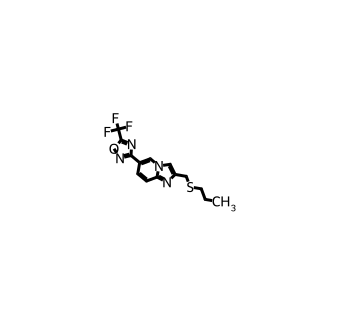 CCCSCc1cn2cc(-c3noc(C(F)(F)F)n3)ccc2n1